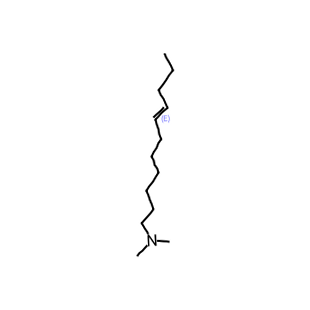 CCC/C=C/CCCCCCN(C)C